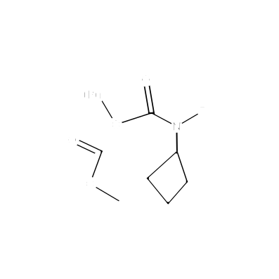 CCN(C(=O)OC(C)(C)C)C1CCC1.COC=O